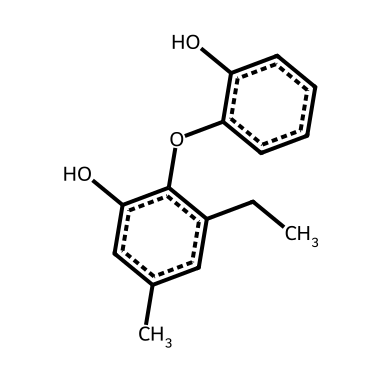 CCc1cc(C)cc(O)c1Oc1ccccc1O